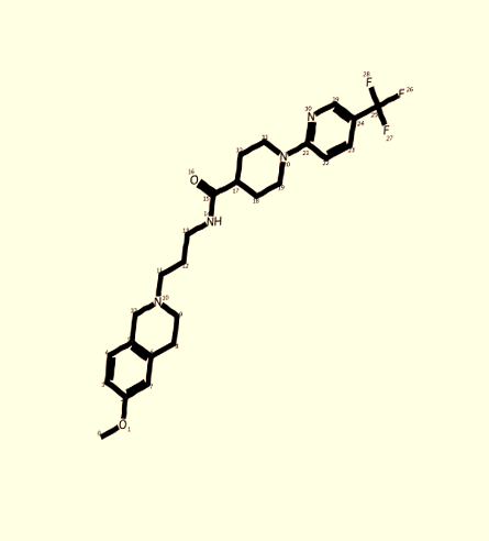 COc1ccc2c(c1)CCN(CCCNC(=O)C1CCN(c3ccc(C(F)(F)F)cn3)CC1)C2